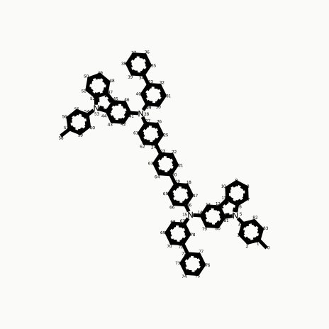 Cc1ccc(-n2c3ccccc3c3cc(N(c4ccc(-c5ccc(-c6ccc(N(c7cccc(-c8ccccc8)c7)c7ccc8c(c7)c7ccccc7n8-c7ccc(C)cc7)cc6)cc5)cc4)c4cccc(-c5ccccc5)c4)ccc32)cc1